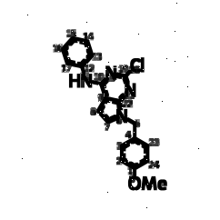 COc1ccc(Cn2ccc3c(Nc4ccccc4)nc(Cl)nc32)cc1